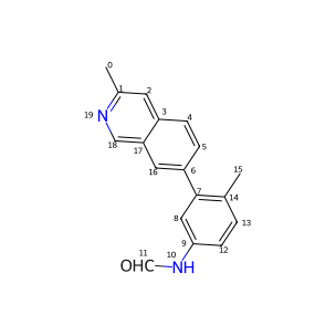 Cc1cc2ccc(-c3cc(NC=O)ccc3C)cc2cn1